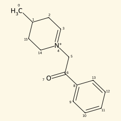 CC1CC=[N+](CC(=O)c2ccccc2)CC1